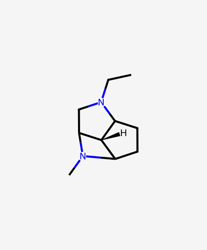 CCN1CC2[C@@H]3C1CCC3N2C